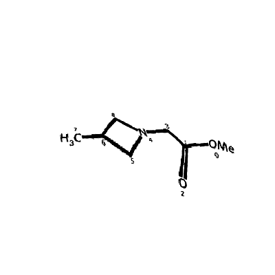 COC(=O)CN1CC(C)C1